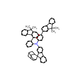 CC1(C)c2ccccc2-c2ccc(-c3ccc(N(c4ccc5c(c4)C4(c6ccccc6-5)C5CC6CC(C5)CC4C6)c4ccccc4-c4cccc5c4-c4ccccc4C5(C)C)cc3)cc21